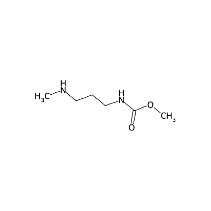 CNCCCNC(=O)OC